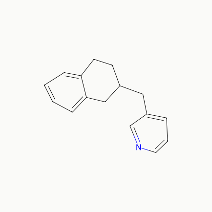 c1cncc(CC2CCc3ccccc3C2)c1